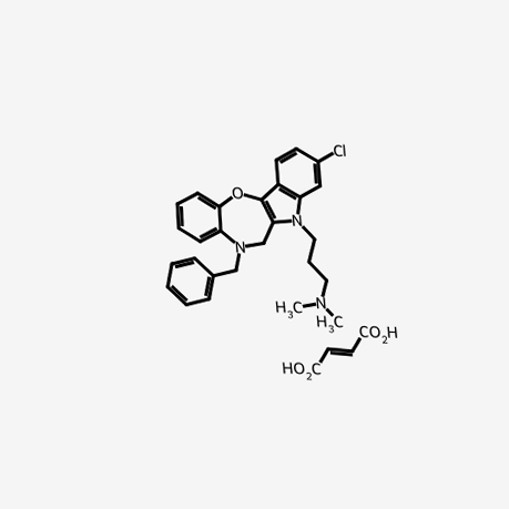 CN(C)CCCn1c2c(c3ccc(Cl)cc31)Oc1ccccc1N(Cc1ccccc1)C2.O=C(O)C=CC(=O)O